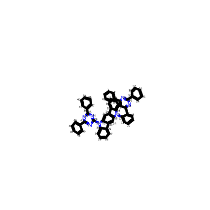 c1ccc(-c2cc(-c3ccccc3-n3c4ccccc4c4cc5c(cc43)c3ccccc3n5-c3nc(-c4ccccc4)nc(-c4ccccc4)n3)nc(-c3ccccc3)n2)cc1